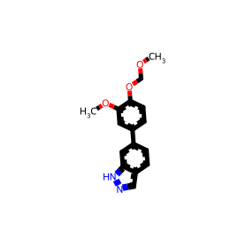 COCOc1ccc(-c2ccc3cn[nH]c3c2)cc1OC